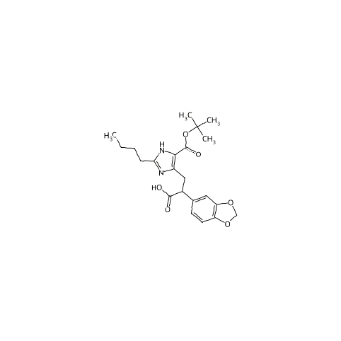 CCCCc1nc(CC(C(=O)O)c2ccc3c(c2)OCO3)c(C(=O)OC(C)(C)C)[nH]1